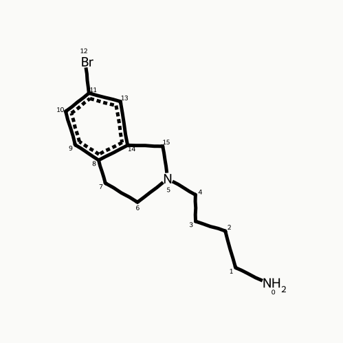 NCCCCN1CCc2ccc(Br)cc2C1